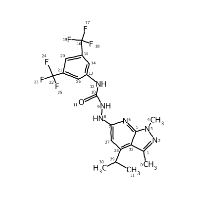 Cc1nn(C)c2nc(NNC(=O)Nc3cc(C(F)(F)F)cc(C(F)(F)F)c3)cc(C(C)C)c12